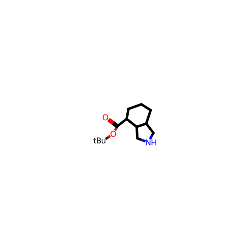 CC(C)(C)OC(=O)C1CCCC2CNCC21